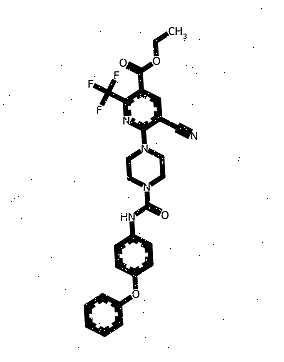 CCOC(=O)c1cc(C#N)c(N2CCN(C(=O)Nc3ccc(Oc4ccccc4)cc3)CC2)nc1C(F)(F)F